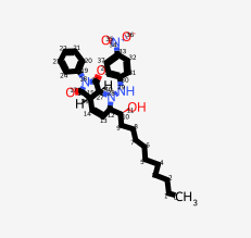 CCCCCCCCCC[C@@H](O)C1C=C[C@H]2C(=O)N(c3ccccc3)C(=O)[C@H]2N1Nc1ccc([N+](=O)[O-])cc1